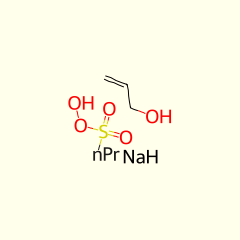 C=CCO.CCCS(=O)(=O)OO.[NaH]